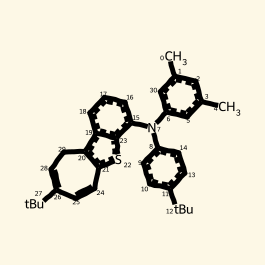 Cc1cc(C)cc(N(c2ccc(C(C)(C)C)cc2)c2cccc3c4c(sc23)C=CC(C(C)(C)C)=CC4)c1